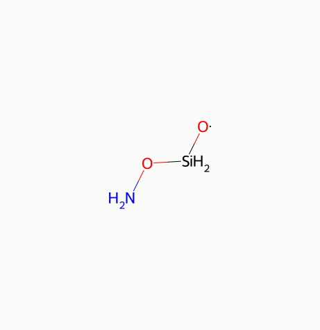 NO[SiH2][O]